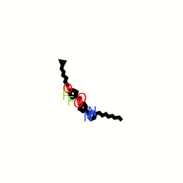 CCCCCCCCc1ccnc(-c2ccc(OC(=O)c3ccc(OCCCCCCC4CC4)c(F)c3F)cc2)n1